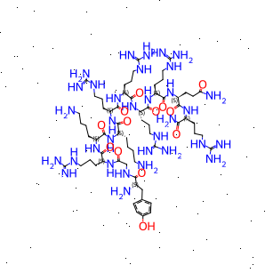 N=C(N)NCCC[C@H](NC(=O)[C@H](CCC(N)=O)NC(=O)[C@H](CCCNC(=N)N)NC(=O)[C@H](CCCNC(=N)N)NC(=O)[C@H](CCCNC(=N)N)NC(=O)[C@H](CCCNC(=N)N)NC(=O)[C@H](CCCCN)NC(=O)[C@H](CCCCN)NC(=O)[C@H](CCCNC(=N)N)NC(=O)CNC(=O)[C@@H](N)Cc1ccc(O)cc1)C(N)=O